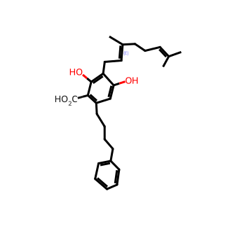 CC(C)=CCC/C(C)=C/Cc1c(O)cc(CCCCc2ccccc2)c(C(=O)O)c1O